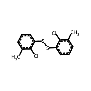 Cc1cccc(SSc2cccc(C)c2Cl)c1Cl